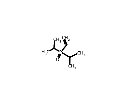 C=CP(=O)(C(C)C)C(C)C